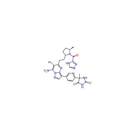 CC(=O)c1c(CCC2CC[C@@H](C)N2C(=O)c2nnc[nH]2)nc2c(-c3ccc(C4(C)NC(=O)NC4=O)nc3)cnn2c1N